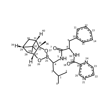 CC(C)CC(NC(=O)C(Cc1ccccc1)NC(=O)c1cnccn1)B1O[C@@H]2C[C@@H]3C[C@@H](C3(C)C)[C@]2(C)O1